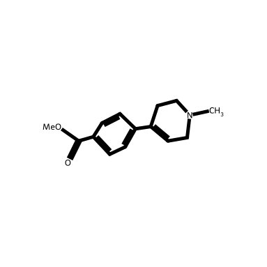 COC(=O)c1ccc(C2=CCN(C)CC2)cc1